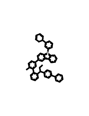 CCC(c1ccc(-c2ccccc2)cc1)c1ccccc1-c1cc(-c2ccc3c(c2)c2ccccc2n3-c2cccc(C3C=CC=CC3)c2)ccc1C